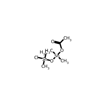 CC(=O)[O][Sn]([CH3])([CH3])[O][Sn]([CH3])([CH3])[Cl]